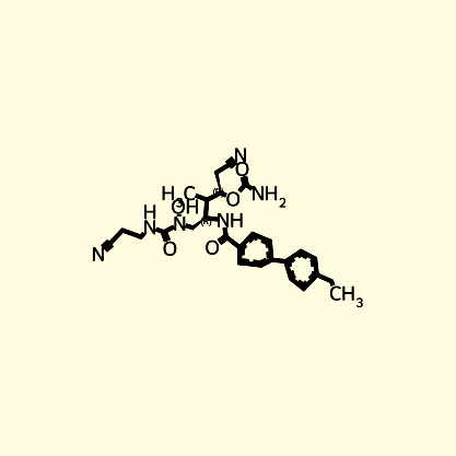 CCc1ccc(-c2ccc(C(=O)N[C@@H](CN(O)C(=O)NCCC#N)C(C)[C@@H](CC#N)OC(N)=O)cc2)cc1